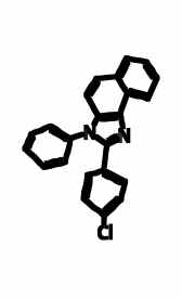 Clc1ccc(-c2nc3c4ccccc4ccc3n2-c2ccccc2)cc1